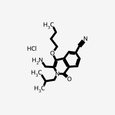 CCCCOc1c(CN)n(CC(C)C)c(=O)c2ccc(C#N)cc12.Cl